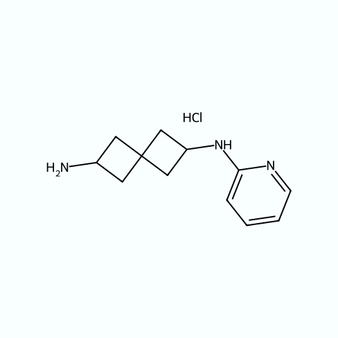 Cl.NC1CC2(C1)CC(Nc1ccccn1)C2